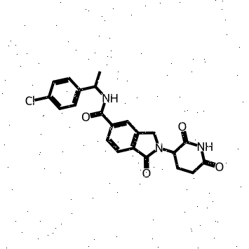 CC(NC(=O)c1ccc2c(c1)CN(C1CCC(=O)NC1=O)C2=O)c1ccc(Cl)cc1